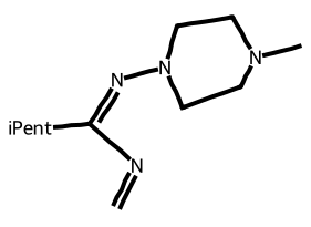 C=N/C(=N\N1CCN(C)CC1)C(C)CCC